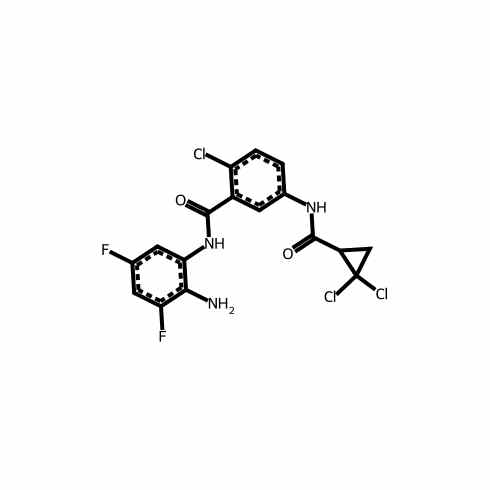 Nc1c(F)cc(F)cc1NC(=O)c1cc(NC(=O)C2CC2(Cl)Cl)ccc1Cl